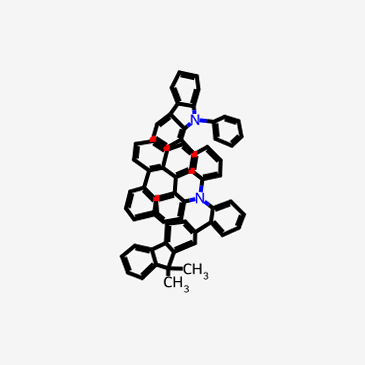 CC1(C)c2ccccc2-c2ccc(-c3ccccc3N(c3cccc(-c4cccc5c6ccccc6n(-c6ccccc6)c45)c3)c3ccccc3-c3cccc4cccc(-c5ccccc5)c34)cc21